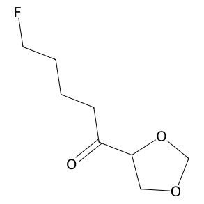 O=C(CCCCF)C1COCO1